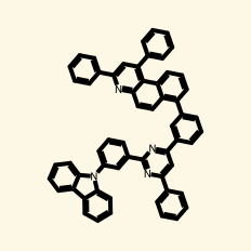 c1ccc(-c2cc(-c3cccc(-c4cccc5c4ccc4nc(-c6ccccc6)cc(-c6ccccc6)c45)c3)nc(-c3cccc(-n4c5ccccc5c5ccccc54)c3)n2)cc1